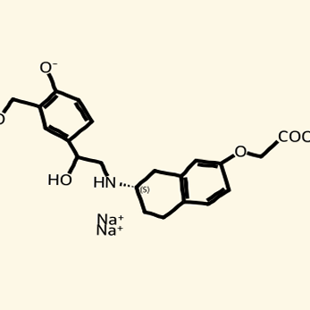 O=C([O-])COc1ccc2c(c1)C[C@@H](NCC(O)c1ccc([O-])c(CO)c1)CC2.[Na+].[Na+]